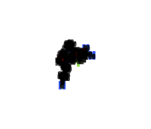 N#Cc1ccc(-c2ccc3c(c2)c2ccccc2n3-c2ccc(-c3ccc(C#N)cc3C(F)(F)F)cc2-c2c(C#N)cccc2-n2c3ccccc3c3cc(-c4ccc(C#N)cc4)ccc32)cc1